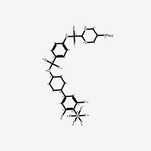 CCCCCC1COC(C(F)(F)Oc2ccc(C(F)(F)OC3CCC(c4cc(F)c(S(F)(F)(F)(F)F)c(F)c4)CC3)cc2)OC1